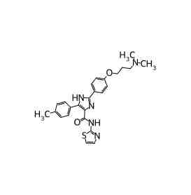 Cc1ccc(-c2[nH]c(-c3ccc(OCCCN(C)C)cc3)nc2C(=O)Nc2nccs2)cc1